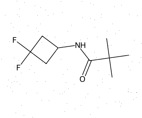 CC(C)(C)C(=O)NC1CC(F)(F)C1